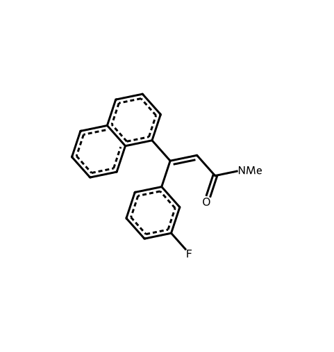 CNC(=O)/C=C(\c1cccc(F)c1)c1cccc2ccccc12